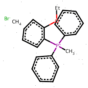 C.CCOc1ccccc1[P+](C)(c1ccccc1)c1ccccc1.[Br-]